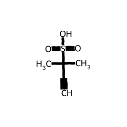 C#CC(C)(C)S(=O)(=O)O